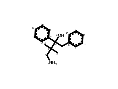 CC(C)(CN)C(O)(Cc1ccccc1)c1ccccc1